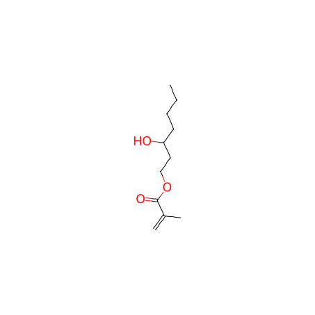 C=C(C)C(=O)OCCC(O)CCCC